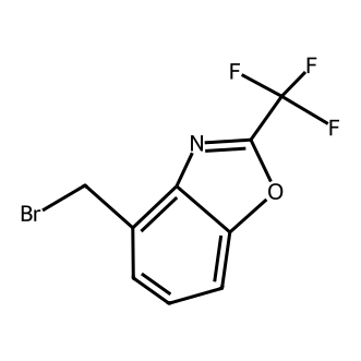 FC(F)(F)c1nc2c(CBr)cccc2o1